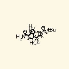 C[C@@H](c1ccc(C(N)=O)c2[nH]ccc12)C1CN(C(=O)OC(C)(C)C)C1.Cl